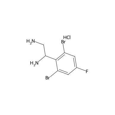 Cl.NCC(N)c1c(Br)cc(F)cc1Br